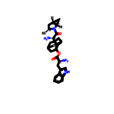 N#C[C@@H]1C[C@@H]2C[C@@H]2N1C(=O)[C@@H](N)C12CC3CC(OC(=O)[C@@H](N)Cc4c[nH]c5ccccc45)=C1C(C3)C2